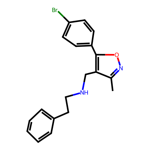 Cc1noc(-c2ccc(Br)cc2)c1CNCCc1ccccc1